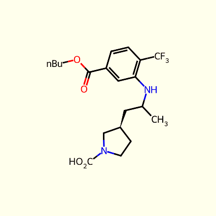 CCCCOC(=O)c1ccc(C(F)(F)F)c(NC(C)C[C@H]2CCN(C(=O)O)C2)c1